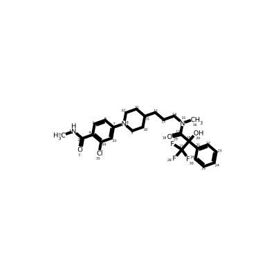 CNC(=O)c1ccc(N2CCC(CCCN(C)C(=O)C(O)(c3ccccc3)C(F)(F)F)CC2)cc1Cl